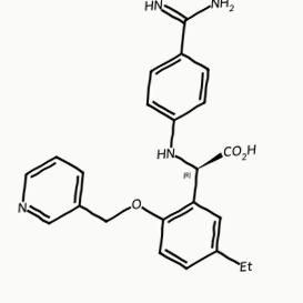 CCc1ccc(OCc2cccnc2)c([C@@H](Nc2ccc(C(=N)N)cc2)C(=O)O)c1